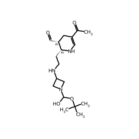 CC(=O)C1=CN[C@H](CCNC2CN(C(O)OC(C)(C)C)C2)[C@H](C=O)C1